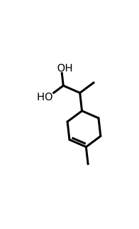 CC1=CCC(C(C)C(O)O)CC1